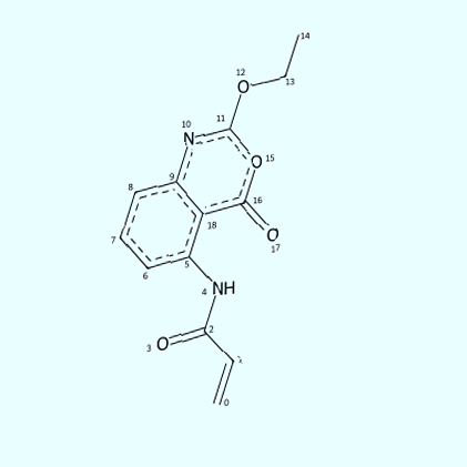 C=CC(=O)Nc1cccc2nc(OCC)oc(=O)c12